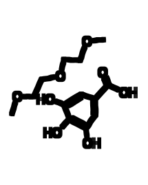 COCCOCCOC.O=C(O)c1cc(O)c(O)c(O)c1